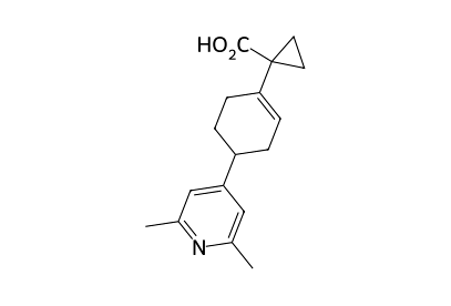 Cc1cc(C2CC=C(C3(C(=O)O)CC3)CC2)cc(C)n1